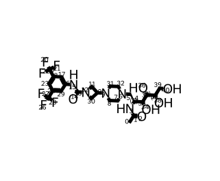 CC(=O)N[C@@H](CN1CCN(C2CN(C(=O)Nc3cc(C(F)(F)F)cc(C(F)(F)F)c3)C2)CC1)C(O)[C@@H](O)[C@H](O)CO